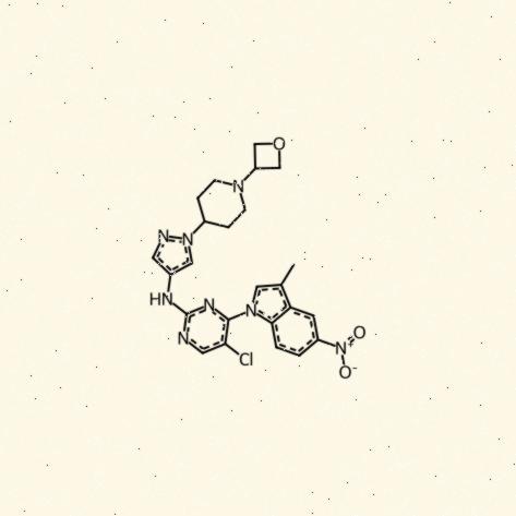 Cc1cn(-c2nc(Nc3cnn(C4CCN(C5COC5)CC4)c3)ncc2Cl)c2ccc([N+](=O)[O-])cc12